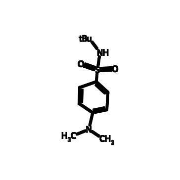 CN(C)c1ccc(S(=O)(=O)NC(C)(C)C)cc1